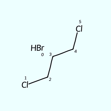 Br.ClCCCCl